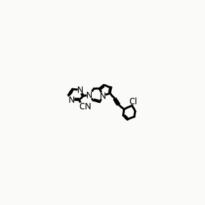 N#Cc1nccnc1N1C=Cn2c(C#CC3C=CCCC3Cl)ccc2C1